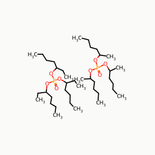 CCCCC(C)OP(=O)(OC(C)CCCC)OC(C)CCCC.CCCCC(CC)OP(=O)(OC(CC)CCCC)OC(CC)CCCC